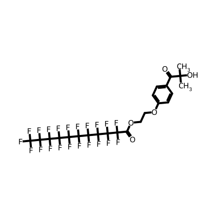 CC(C)(O)C(=O)c1ccc(OCCOC(=O)C(F)(F)C(F)(F)C(F)(F)C(F)(F)C(F)(F)C(F)(F)C(F)(F)C(F)(F)C(F)(F)C(F)(F)F)cc1